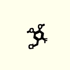 COc1cc(F)c(CCl)cc1OC